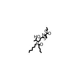 CCCCCCN(C(=O)CCCC)C(CC(O)c1nc(C(=O)OCC)cs1)C(C)C